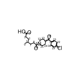 CC(CCC(=O)O)CCC(=O)N1CCC(C(=O)c2ccc(Cl)cc2)CC1